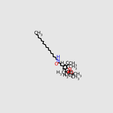 CCCCCCCCCCCCCCCCCCNC(=O)CCc1cc(C(C)(C)C)c(OC(=O)OC(C)(C)C)c(C(C)(C)C)c1